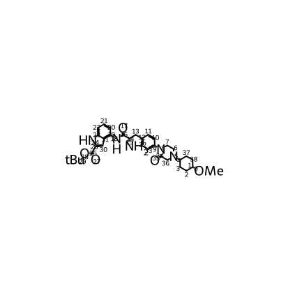 COC1CCC(N2CCN(c3ccc(C[C@H](N)C(=O)Nc4cccc5[nH]c(C(=O)OC(C)(C)C)cc45)cc3)C(=O)C2)CC1